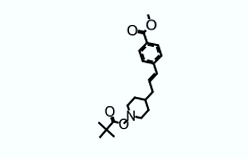 COC(=O)c1ccc(/C=C/CC2CCN(OC(=O)C(C)(C)C)CC2)cc1